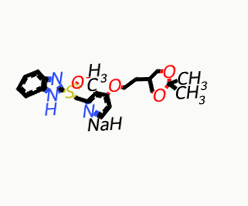 Cc1c(OCCC2COC(C)(C)OC2)ccnc1C[S+]([O-])c1nc2ccccc2[nH]1.[NaH]